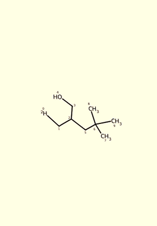 [2H]CC(CO)CC(C)(C)C